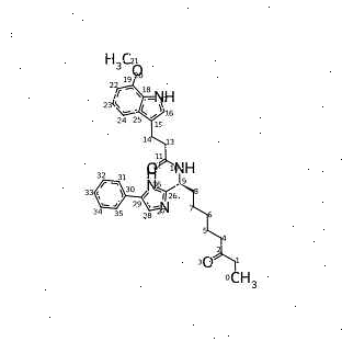 CCC(=O)CCCCC[C@H](NC(=O)CCc1c[nH]c2c(OC)cccc12)c1ncc(-c2ccccc2)[nH]1